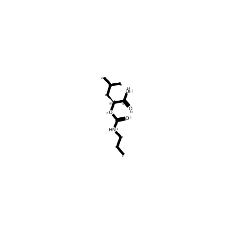 CCCNC(=O)O[C@@H](CC(C)C)C(=O)O